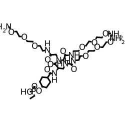 CCP(=O)(O)OC1CCC(C(=O)NC(CNC(=O)NCCOCCOCCON)C(=O)N(CC(=O)NCCOCCOCCON)CC(=O)NCCOCCOCCON)CC1